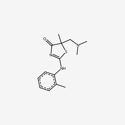 Cc1ccccc1NC1=NC(=O)C(C)(CN(C)C)S1